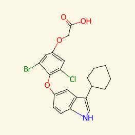 O=C(O)COc1cc(Cl)c(Oc2ccc3[nH]cc(C4CCCCC4)c3c2)c(Br)c1